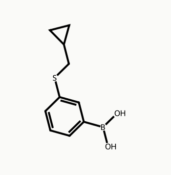 OB(O)c1cccc(SCC2CC2)c1